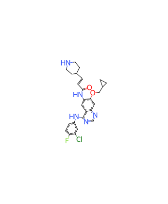 O=C(C=CC1CCNCC1)Nc1cc2c(Nc3ccc(F)c(Cl)c3)ncnc2cc1OCC1CC1